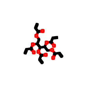 C=CC(=O)OCC(OC(=O)C=C)C(OC(=O)C=C)C(COC(=O)C=C)OC(=O)C=C